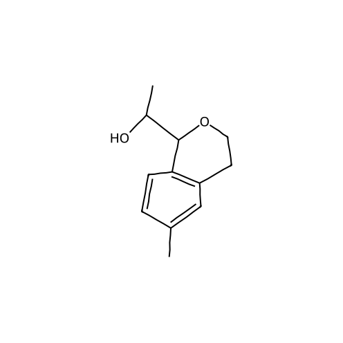 Cc1ccc2c(c1)CCOC2C(C)O